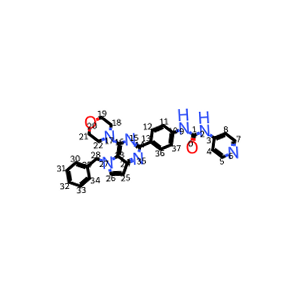 O=C(Nc1ccncc1)Nc1ccc(-c2nc(N3CCOCC3)c3c(ccn3Cc3ccccc3)n2)cc1